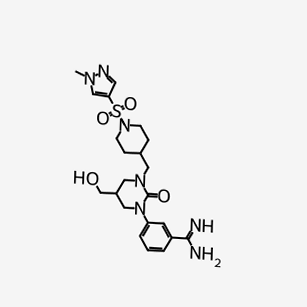 Cn1cc(S(=O)(=O)N2CCC(CN3CC(CO)CN(c4cccc(C(=N)N)c4)C3=O)CC2)cn1